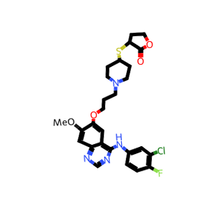 COc1cc2ncnc(Nc3ccc(F)c(Cl)c3)c2cc1OCCCN1CCC(SC2CCOC2=O)CC1